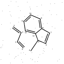 C=CC=C.CC1C=Cc2ccccc21